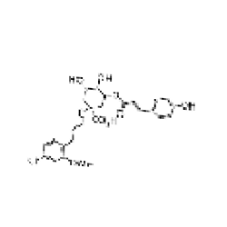 COc1cc(Cl)ccc1CCCO[C@@]1(C(=O)O)C[C@H](O)[C@@H](O)[C@H](OC(=O)C=Cc2ccc(O)cc2)C1